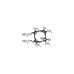 CCc1c2[nH]c(c1C)/C=c1\[nH]/c(c(CCC(=O)O)c1C)=C\c1[nH]c(c(C)c1CCC(=O)O)/C=c1\[nH]/c(c(C)c1CC)=C\2